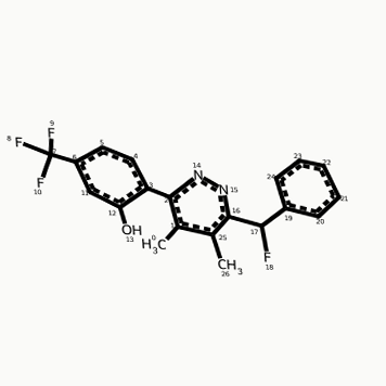 Cc1c(-c2ccc(C(F)(F)F)cc2O)nnc(C(F)c2ccccc2)c1C